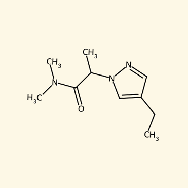 CCc1cnn(C(C)C(=O)N(C)C)c1